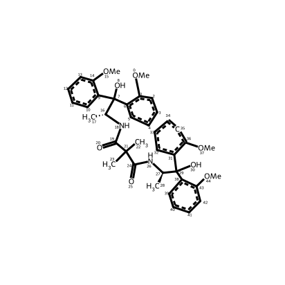 COc1ccccc1C(O)(c1ccccc1OC)[C@@H](C)NC(=O)C(C)(C)C(=O)N[C@H](C)C(O)(c1ccccc1OC)c1ccccc1OC